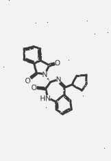 O=C1Nc2ccccc2C(C2CCCC2)=N[C@H]1N1C(=O)c2ccccc2C1=O